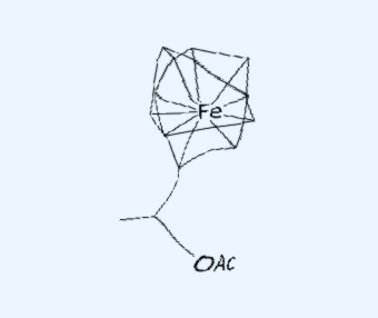 CC(=O)OC(C)[C]12[CH]3[CH]4[CH]5[CH]1[Fe]45321678[CH]2[CH]1[CH]6[CH]7[CH]28